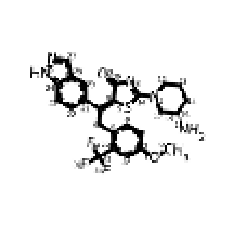 COc1ccc(CC(=C2SC(N3CCC[C@H](N)C3)=NC2=O)c2ccc3[nH]ncc3c2)c(C(F)(F)F)c1